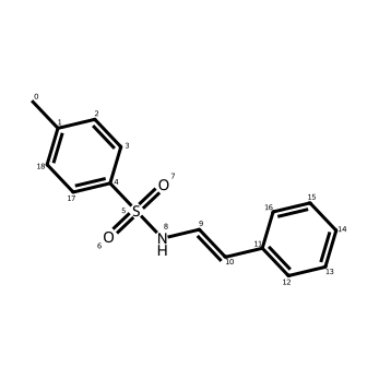 Cc1ccc(S(=O)(=O)NC=Cc2ccccc2)cc1